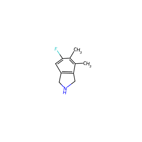 Cc1c(F)cc2c(c1C)CNC2